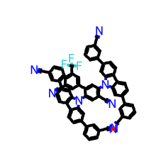 N#Cc1cccc(-c2ccc3c4ccc(-c5cccc(C#N)c5)cc4n(-c4cc(-c5cc(C#N)cc(C(F)(F)F)c5)c(-n5c6cc(-c7cccc(C#N)c7)ccc6c6ccc(-c7cccc(C#N)c7)cc65)cc4C#N)c3c2)c1